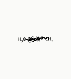 CCCCCC1OCC(C(=O)Oc2ccc(-c3ncc(C4CCC(CCCC)CC4)cn3)cc2)CO1